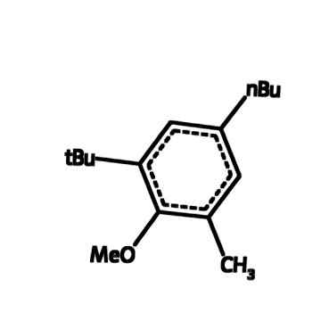 CCCCc1cc(C)c(OC)c(C(C)(C)C)c1